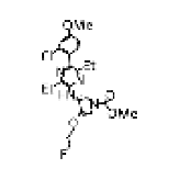 CCc1nc(-c2ccc(OC)cc2Cl)c(CC)nc1N[C@@H]1CN(C(=O)OC)C[C@@H]1OCCCF